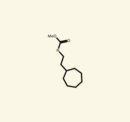 COC(=O)[N]CCC1CCCCCC1